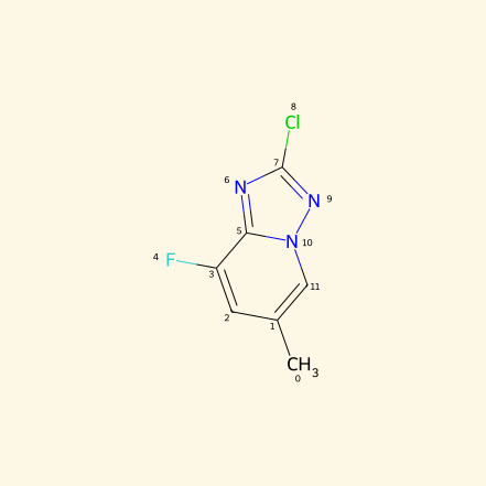 Cc1cc(F)c2nc(Cl)nn2c1